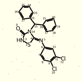 O=c1[nH]s/c(=N\c2ccc(Cl)c(Cl)c2)n1C(c1ccccc1)c1ccccc1